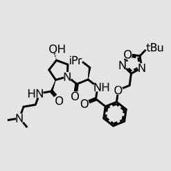 CC(C)C[C@@H](NC(=O)c1ccccc1OCc1noc(C(C)(C)C)n1)C(=O)N1C[C@@H](O)C[C@@H]1C(=O)NCCN(C)C